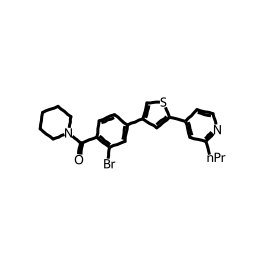 CCCc1cc(-c2cc(-c3ccc(C(=O)N4CCCCC4)c(Br)c3)cs2)ccn1